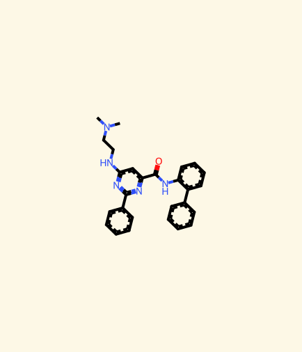 CN(C)CCNc1cc(C(=O)Nc2ccccc2-c2ccccc2)nc(-c2ccccc2)n1